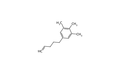 [CH]=CCCCc1cc(C)c(C)c(C)c1